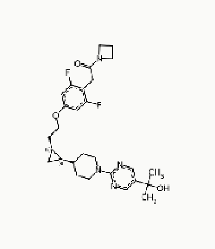 CC(C)(O)c1cnc(N2CCC([C@H]3C[C@H]3CCOc3cc(F)c(CC(=O)N4CCC4)c(F)c3)CC2)nc1